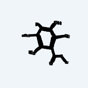 CCCCCCCCc1c(Br)c(O)c(O)c(C(=O)OBr)c1CCCCCCCC